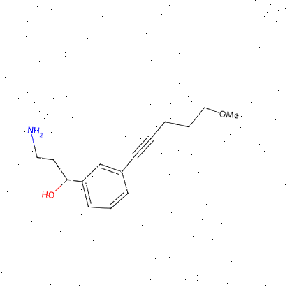 COCCCC#Cc1cccc(C(O)CCN)c1